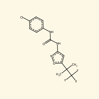 CC(C)(c1cc(NC(=O)Nc2ccc(Cl)cc2)no1)C(F)(F)F